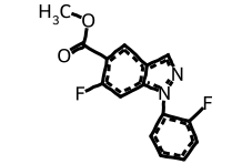 COC(=O)c1cc2cnn(-c3ccccc3F)c2cc1F